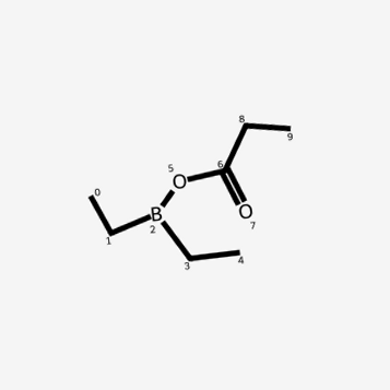 CCB(CC)OC(=O)CC